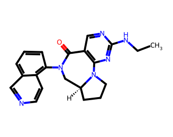 CCNc1ncc2c(n1)N1CCC[C@H]1CN(c1cccc3cnccc13)C2=O